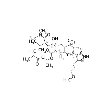 COCCCc1n[nH]c2ccc([C@@H](C)C(C[C@H](NC(=O)OC(C)OC(=O)C(C)C)[C@@H](O)C[C@H](C(=O)N(C)C3CC3)C(C)C)C(C)C)cc12